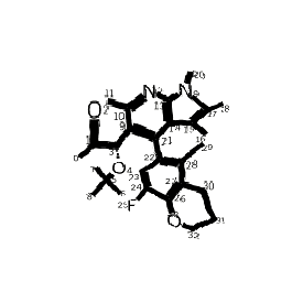 CC(=O)[C@@H](OC(C)(C)C)c1c(C)nc2c(c(C)c(C)n2C)c1-c1cc(F)c2c(c1C)CCCO2